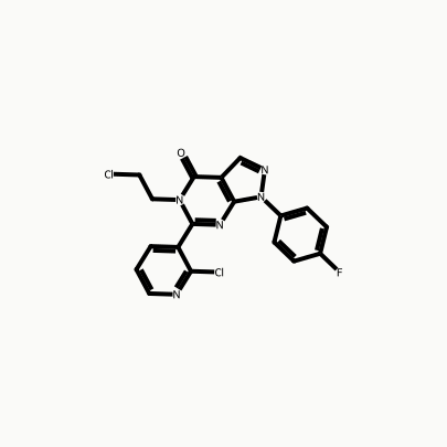 O=c1c2cnn(-c3ccc(F)cc3)c2nc(-c2cccnc2Cl)n1CCCl